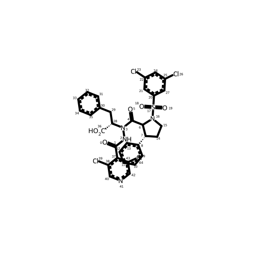 O=C(NN(C(=O)C1[C@@H](c2ccccc2)CCN1S(=O)(=O)c1cc(Cl)cc(Cl)c1)[C@@H](Cc1ccccc1)C(=O)O)c1c(Cl)cncc1Cl